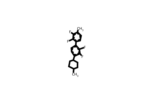 Cc1ccc(-c2ccc(C3CCC(C)CC3)c(F)c2F)c(F)c1F